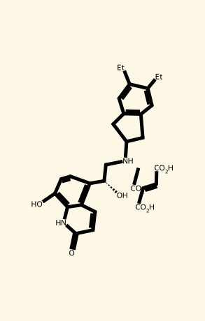 CC(=O)O.CCc1cc2c(cc1CC)CC(NC[C@H](O)c1ccc(O)c3[nH]c(=O)ccc13)C2.O=C(O)C=CC(=O)O